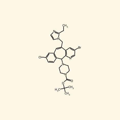 CCc1nccn1CC1=Cc2cc(Cl)ccc2C(N2CCN(C(=O)OC(C)(C)C)CC2)c2ncc(Br)cc21